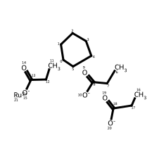 C1CCCCC1.CCC(=O)[O-].CCC(=O)[O-].CCC(=O)[O-].[Ru+3]